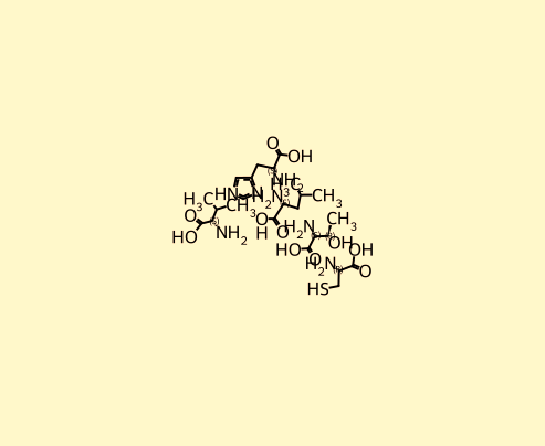 CC(C)C[C@H](N)C(=O)O.CC(C)[C@H](N)C(=O)O.C[C@@H](O)[C@H](N)C(=O)O.N[C@@H](CS)C(=O)O.N[C@@H](Cc1c[nH]cn1)C(=O)O